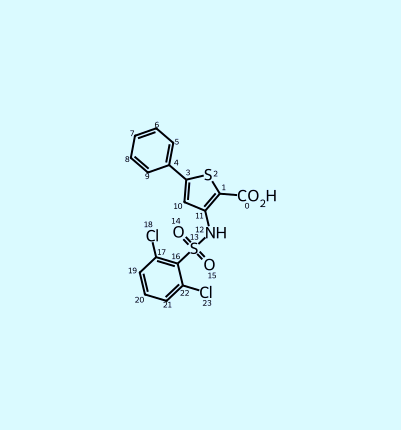 O=C(O)c1sc(-c2ccccc2)cc1NS(=O)(=O)c1c(Cl)cccc1Cl